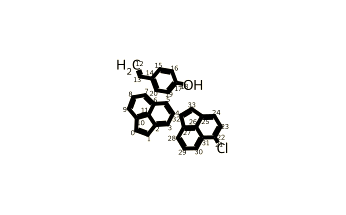 C1=Cc2cccc3cccc1c23.C=Cc1ccc(O)cc1.Clc1ccc2c3c(cccc13)C=C2